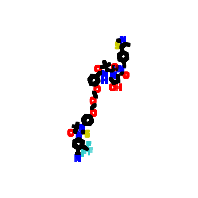 Cc1ncsc1-c1ccc(CNC(=O)[C@@H]2C[C@@H](O)CN2C(=O)[C@@H](NC(=O)c2cccc(OCCOCCOc3ccc(N4C(=S)N(c5ccc(C#N)c(C(F)(F)F)c5)C(=O)C4(C)C)cc3)c2)C(C)(C)C)cc1